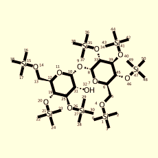 C[Si](C)(C)OC[C@H]1O[C@H](O[C@H]2O[C@H](CO[Si](C)(C)C)[C@@H](O[Si](C)(C)C)[C@H](O[Si](C)(C)C)[C@H]2O)[C@H](O[Si](C)(C)C)[C@@H](O[Si](C)(C)C)[C@@H]1O[Si](C)(C)C